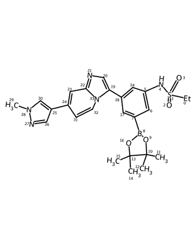 CCS(=O)(=O)Nc1cc(B2OC(C)(C)C(C)(C)O2)cc(-c2cnc3cc(-c4cnn(C)c4)ccn23)c1